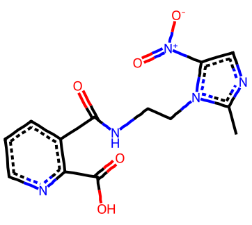 Cc1ncc([N+](=O)[O-])n1CCNC(=O)c1cccnc1C(=O)O